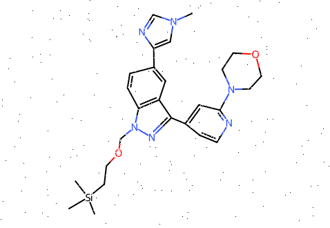 Cn1cnc(-c2ccc3c(c2)c(-c2ccnc(N4CCOCC4)c2)nn3COCC[Si](C)(C)C)c1